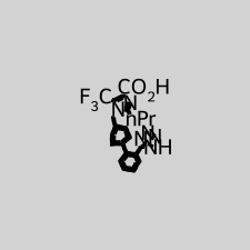 CCCc1nc(C(=O)O)c(C(F)(F)F)n1Cc1ccc(-c2ccccc2-c2nnn[nH]2)cc1